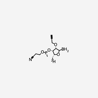 [2H]C[C@H]1OC(B)[C@@H](OCC#C)[C@H]1OP(C)OCCC#N